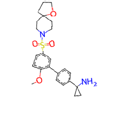 COc1ccc(S(=O)(=O)N2CCC3(CCCO3)CC2)cc1-c1ccc(C2(N)CC2)cc1